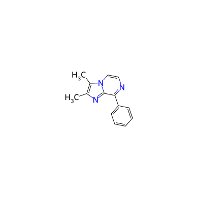 Cc1nc2c(-c3ccccc3)nccn2c1C